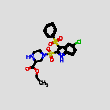 CCOC(=O)C1CN(S(=O)(=O)c2[nH]c3ccc(Cl)cc3c2S(=O)(=O)c2ccccc2)CCN1